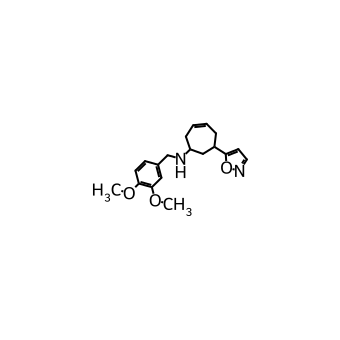 COc1ccc(CNC2CC=CCC(c3ccno3)C2)cc1OC